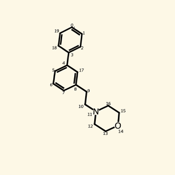 [c]1ccc(-c2cccc(CCN3CCOCC3)c2)cc1